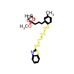 CO[Si](CCCc1cc(C)ccc1SSSSSSSSc1nc2ccccc2s1)(OC)OC